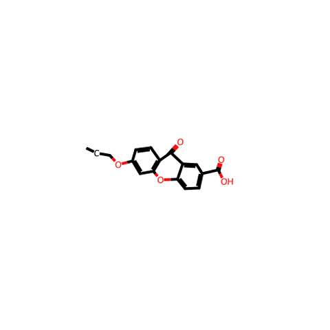 CCCOc1ccc2c(=O)c3cc(C(=O)O)ccc3oc2c1